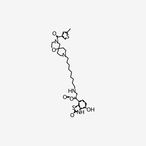 Cc1cc(C(=O)N2CCOC3(CCN(CCCCCCCCCNC[C@H](OC=O)c4ccc(O)c5[nH]c(=O)sc45)CC3)C2)cs1